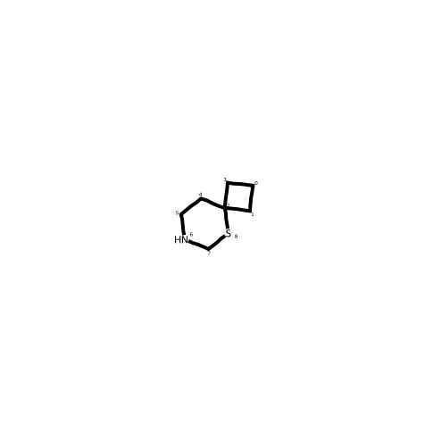 C1CC2(C1)CCNCS2